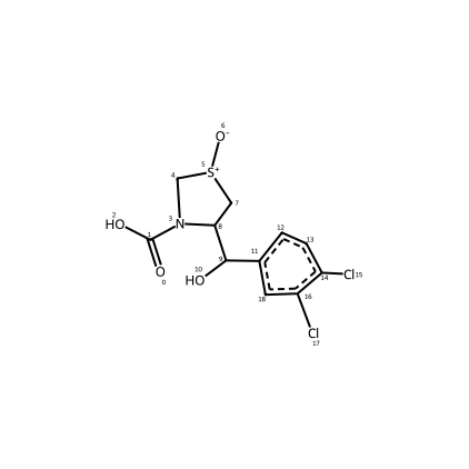 O=C(O)N1C[S+]([O-])CC1C(O)c1ccc(Cl)c(Cl)c1